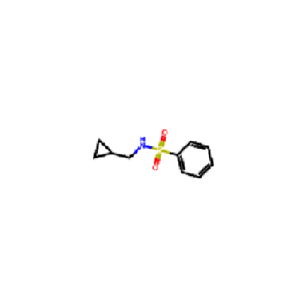 O=S(=O)(NCC1CC1)c1ccccc1